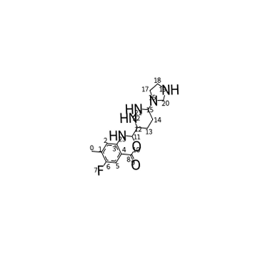 Cc1cc2c(cc1F)C(=O)OC(C1CCC(N3CCNC3)NN1)N2